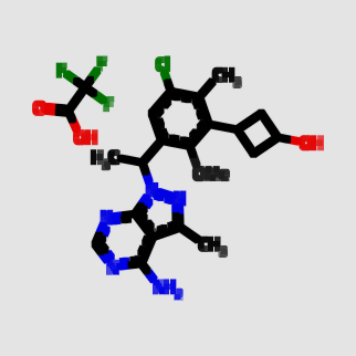 COc1c(C(C)n2nc(C)c3c(N)ncnc32)cc(Cl)c(C)c1C1CC(O)C1.O=C(O)C(F)(F)F